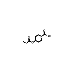 CSC(=S)OC1CCN(C(=O)O)CC1